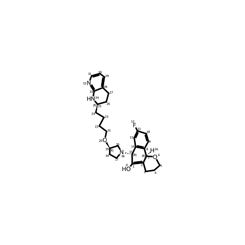 OC1=C2CCCO[C@@H]2c2ccc(F)cc2[C@H]1N1CC[C@@H](OCCCC[C@@H]2CCc3cccnc3N2)C1